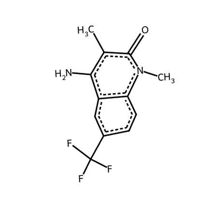 Cc1c(N)c2cc(C(F)(F)F)ccc2n(C)c1=O